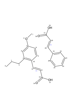 CCCc1cc(OC)ccc1/C=C/C(=O)O.O=C(O)/C=C/c1ccccc1